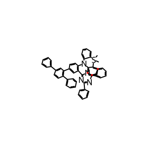 CS1(C)c2ccccc2N(c2ccc(-c3cc(-c4ccccc4)ccc3-c3ccccc3)cc2-c2nc(-c3ccccc3)nc(-c3ccccc3)n2)c2ccccc21